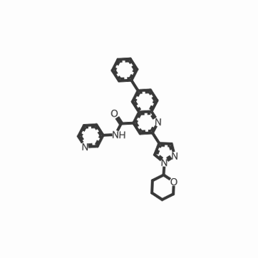 O=C(Nc1cccnc1)c1cc(-c2cnn(C3CCCCO3)c2)nc2ccc(-c3ccccc3)cc12